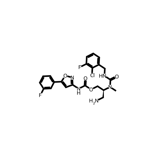 CN(C(=O)NCc1cccc(F)c1Cl)[C@@H](CN)COC(=O)Nc1cc(-c2cccc(F)c2)on1